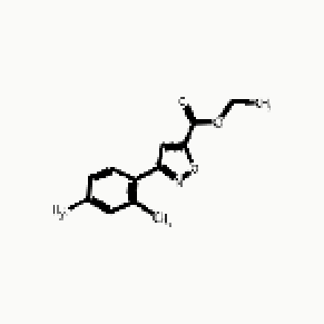 CCOC(=O)c1cc(-c2ccc(C)cc2C)no1